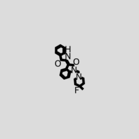 CC1(F)CCN(CN2C(=O)/C(=C3\Nc4ccccc4C3=O)c3ccccc32)CC1